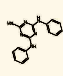 [NH]c1nc(Nc2ccccc2)nc(Nc2ccccc2)n1